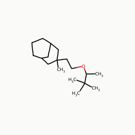 CC(OCCC1(C)CC2CCCC(C2)C1)C(C)(C)C